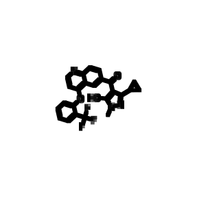 Cn1nc(C2CC2)c(C(=O)c2ccc3nccc(Oc4ccccc4C(F)(F)F)c3c2)c1O